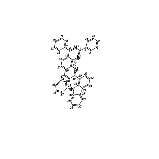 c1ccc(-c2nc(-c3ccccc3)c3ccc4ccc(-c5cccc6c7ccccc7n(-c7ccccc7)c56)nc4c3n2)cc1